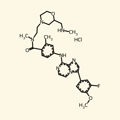 CNCC1CN(CCN(C)C(=O)c2ccc(Nc3nccn4c(-c5ccc(OC)c(F)c5)cnc34)cc2C)CCO1.Cl